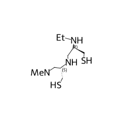 CCN[C@@H](CS)CN[C@H](CS)CNC